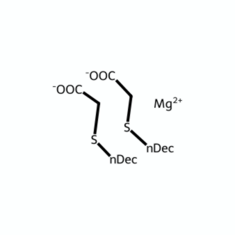 CCCCCCCCCCSCC(=O)[O-].CCCCCCCCCCSCC(=O)[O-].[Mg+2]